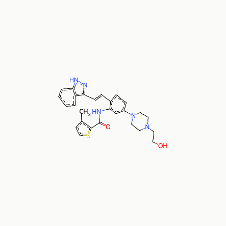 Cc1ccsc1C(=O)Nc1cc(N2CCN(CCO)CC2)ccc1/C=C/c1n[nH]c2ccccc12